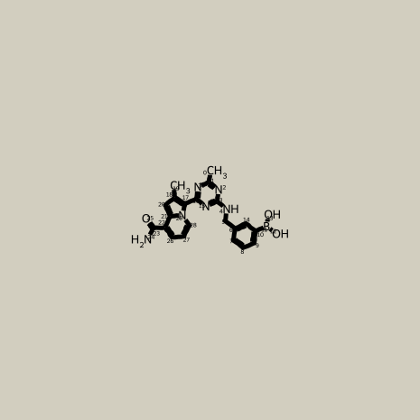 Cc1nc(NCc2cccc(B(O)O)c2)nc(-c2c(C)cc3c(C(N)=O)cccn23)n1